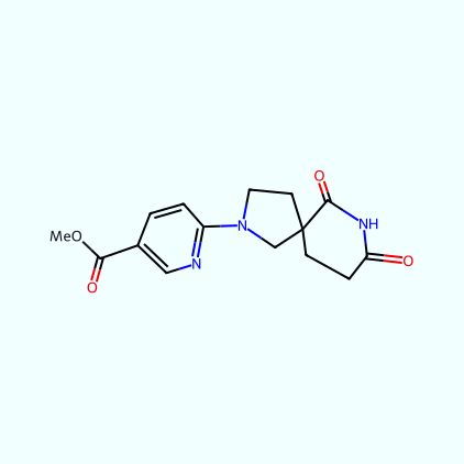 COC(=O)c1ccc(N2CCC3(CCC(=O)NC3=O)C2)nc1